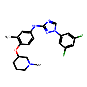 CC(=O)N1CCCC(Oc2ccc(Nc3ncn(-c4cc(F)cc(F)c4)n3)cc2C)C1